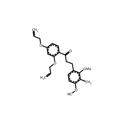 C=CCOc1ccc(C(=O)CCc2ccc(OC#N)c(C)c2OC)c(OCC=C)c1